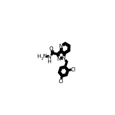 NNC(=O)c1nn(Cc2ccc(Cl)cc2Cl)c2cccnc12